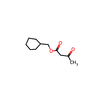 CC(=O)CC(=O)OCC1CCCCC1